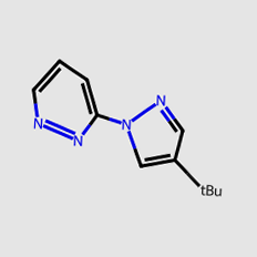 CC(C)(C)c1cnn(-c2cccnn2)c1